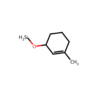 CC1=CC(O[SiH3])CCC1